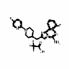 Nc1nc2c(F)cccc2c2nc(CC3CCN(c4ccc(F)cn4)CC3)cn12.O=C(O)C(F)(F)F